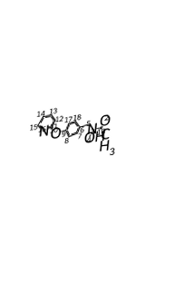 CC(=O)N(O)Cc1ccc(Oc2ccccn2)cc1